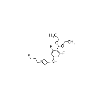 CCOC(OCC)c1c(F)cc(NC2CN(CCCF)C2)cc1F